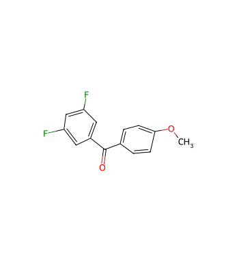 COc1ccc(C(=O)c2cc(F)cc(F)c2)cc1